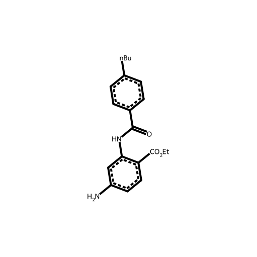 CCCCc1ccc(C(=O)Nc2cc(N)ccc2C(=O)OCC)cc1